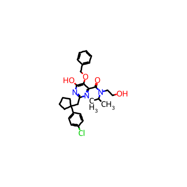 CC(C)N(CCO)C(=O)c1nc(CC2(c3ccc(Cl)cc3)CCCC2)nc(O)c1OCc1ccccc1